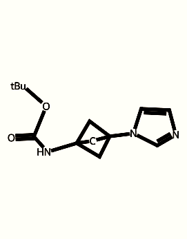 CC(C)(C)OC(=O)NC12CC(n3ccnc3)(C1)C2